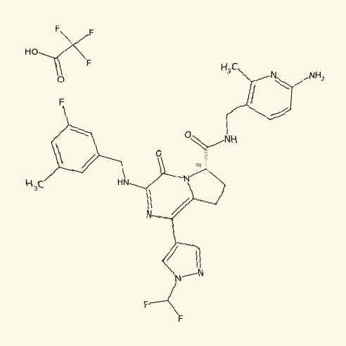 Cc1cc(F)cc(CNc2nc(-c3cnn(C(F)F)c3)c3n(c2=O)[C@H](C(=O)NCc2ccc(N)nc2C)CC3)c1.O=C(O)C(F)(F)F